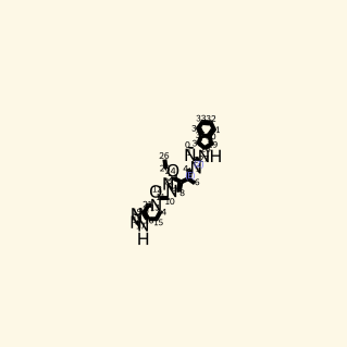 C=N/C(=N\C=C(/C)c1cn(CC(=O)N2CCc3[nH]nnc3C2)nc1OCC)NC1Cc2ccccc2C1